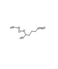 CCCCCCCCCCC(CCC)OOOCCC